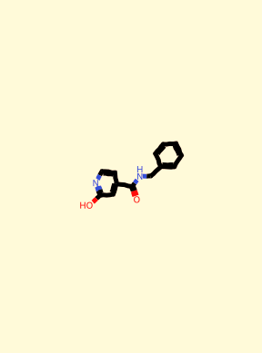 O=C(NCc1ccccc1)c1ccnc(O)c1